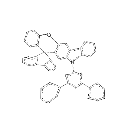 c1ccc(-c2cc(-c3ccccc3)nc(-n3c4ccccc4c4cc5c(cc43)C3(c4ccccc4O5)c4ccccc4-c4ccccc43)c2)cc1